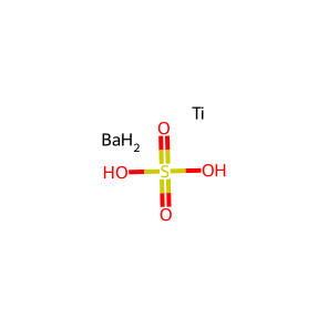 O=S(=O)(O)O.[BaH2].[Ti]